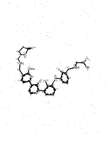 COc1nc(-c2ccnc(-c3cccc(Nc4cccc(CNC[C@@H](C)O)c4F)c3Cl)c2Cl)ccc1CNC[C@H]1CCC(=O)N1